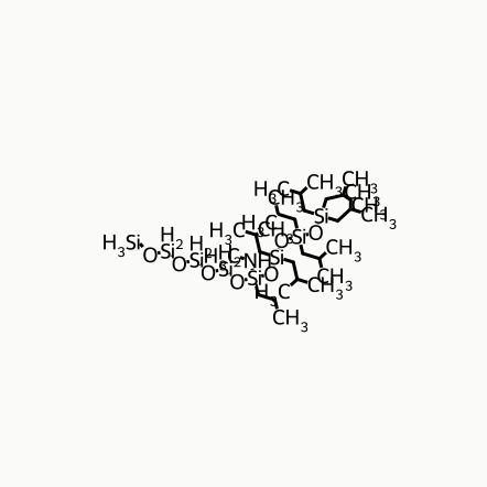 CCC[Si](NC)(O[SiH2]O[SiH2]O[SiH2]O[SiH3])O[Si](CC(C)C)(CC(C)C)O[Si](CC(C)C)(CC(C)C)O[Si](CC(C)C)(CC(C)C)CC(C)C